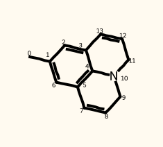 Cc1cc2c3c(c1)C=CCN3CC=C2